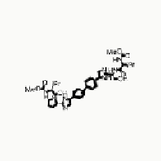 COC(=O)NC(C(=O)N[C@@H](CO)c1ncc(-c2ccc(-c3ccc(-c4cnc([C@@H]5CCCN5C(=O)[C@@H](NC(=O)OC)C(C)C)[nH]4)cc3)cc2)[nH]1)C(C)C